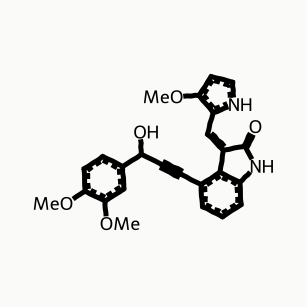 COc1ccc(C(O)C#Cc2cccc3c2/C(=C/c2[nH]ccc2OC)C(=O)N3)cc1OC